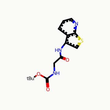 CC(C)(C)OC(=O)NCC(=O)Nc1csc2ncccc12